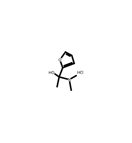 CN(C)C(C)(O)c1ccco1.Cl